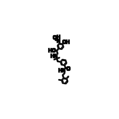 Cc1cccc(C)c1CCNC(=O)c1cccc(CC(C)(C)NC[C@@H](O)c2ccc(O)c(NC=O)c2)c1